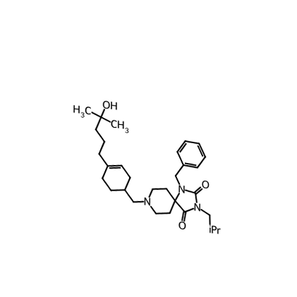 CC(C)CN1C(=O)N(Cc2ccccc2)C2(CCN(CC3CC=C(CCCC(C)(C)O)CC3)CC2)C1=O